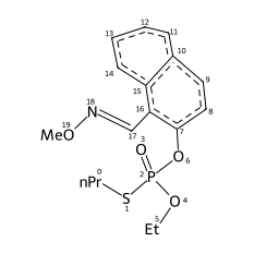 CCCSP(=O)(OCC)Oc1ccc2ccccc2c1C=NOC